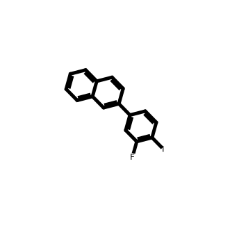 Fc1cc(-c2ccc3ccccc3c2)ccc1I